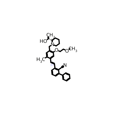 C=C(O)[C@@H]1CCCCN1Cc1cc(C)c(/C=C/c2cccc(-c3ccccc3)c2C#N)cc1OCCOC